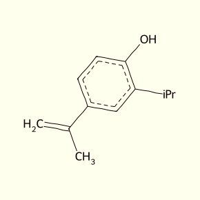 C=C(C)c1ccc(O)c(C(C)C)c1